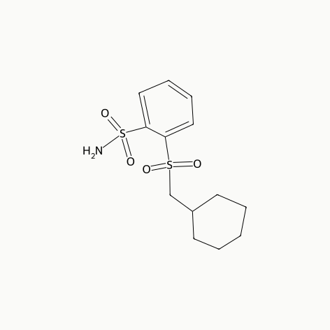 NS(=O)(=O)c1ccccc1S(=O)(=O)CC1CCCCC1